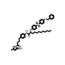 CCCCCCCCCCC(Oc1ccc(S(=O)(=O)c2ccc(OCc3ccccc3)cc2)cc1)C(=O)Nc1ccc(CCCc2n[nH]c3cc(C)nn23)cc1